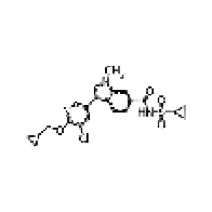 Cn1cc(-c2cnc(OCC3CC3)c(Cl)c2)c2ccc(C(=O)NS(=O)(=O)C3CC3)cc21